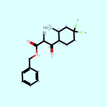 CC(=O)C(C(=O)OCc1ccccc1)C(=O)C1CCC(F)(F)CC1C(=O)O